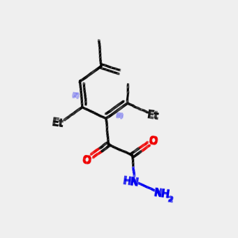 C=C(C)/C=C(CC)\C(C(=O)C(=O)NN)=C(/C)CC